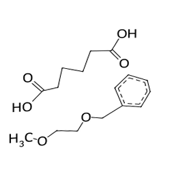 COCCOCc1ccccc1.O=C(O)CCCCC(=O)O